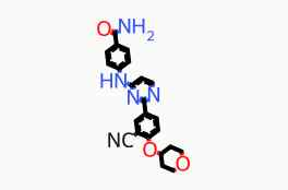 N#Cc1cc(-c2nccc(Nc3ccc(C(N)=O)cc3)n2)ccc1OC1CCOCC1